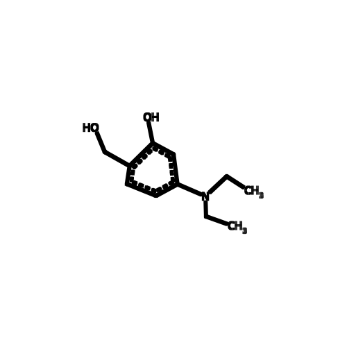 CCN(CC)c1ccc(CO)c(O)c1